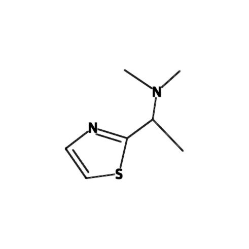 CC(c1nccs1)N(C)C